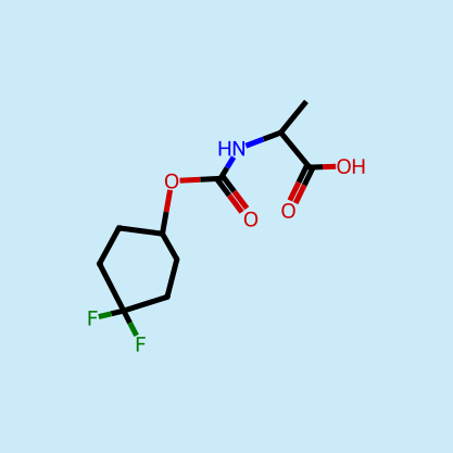 CC(NC(=O)OC1CCC(F)(F)CC1)C(=O)O